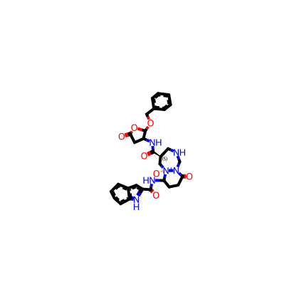 O=C1CC(NC(=O)[C@H]2CNCN3C(=O)CCC(NC(=O)c4cc5ccccc5[nH]4)[N+]3([O-])C2)C(OCc2ccccc2)O1